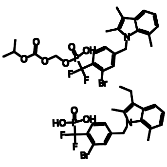 CCc1c(C)n(Cc2ccc(C(F)(F)P(=O)(O)O)c(Br)c2)c2c(C)cccc12.Cc1c(C)n(Cc2ccc(C(F)(F)P(=O)(O)OCOC(=O)OC(C)C)c(Br)c2)c2c(C)cccc12